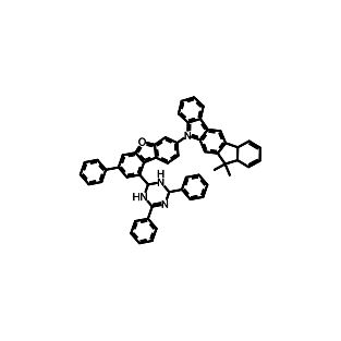 CC1(C)c2cc3c(cc2C2C=CC=CC21)c1ccccc1n3-c1ccc2c(c1)oc1cc(-c3ccccc3)cc(C3NC(c4ccccc4)=NC(c4ccccc4)N3)c12